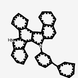 c1ccc(-c2cccc(-n3c4ccc5ccccc5c4c4c5ccccc5c5[nH]c6ccccc6c5c43)c2)cc1